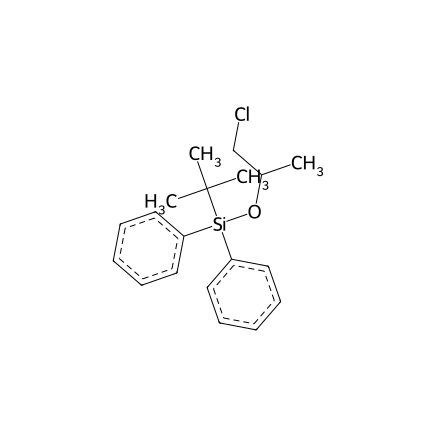 CC(CCl)O[Si](c1ccccc1)(c1ccccc1)C(C)(C)C